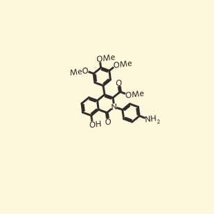 COC(=O)c1c(-c2cc(OC)c(OC)c(OC)c2)c2cccc(O)c2c(=O)n1-c1ccc(N)cc1